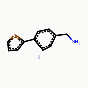 I.NCc1ccc(-c2cccs2)cc1